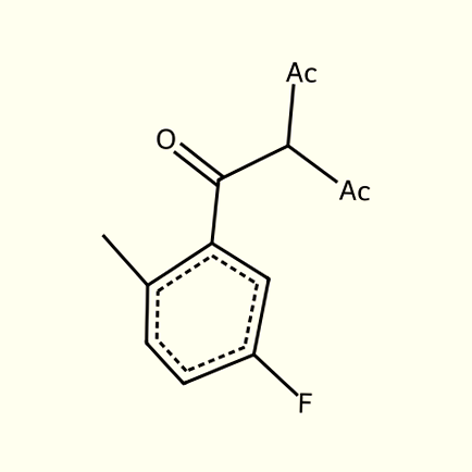 CC(=O)C(C(C)=O)C(=O)c1cc(F)ccc1C